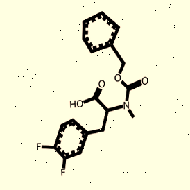 CN(C(=O)OCc1ccccc1)C(Cc1ccc(F)c(F)c1)C(=O)O